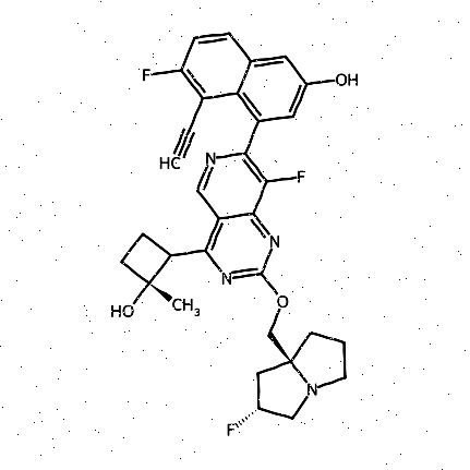 C#Cc1c(F)ccc2cc(O)cc(-c3ncc4c(C5CC[C@@]5(C)O)nc(OC[C@@]56CCCN5C[C@H](F)C6)nc4c3F)c12